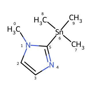 Cn1ccn[c]1[Sn]([CH3])([CH3])[CH3]